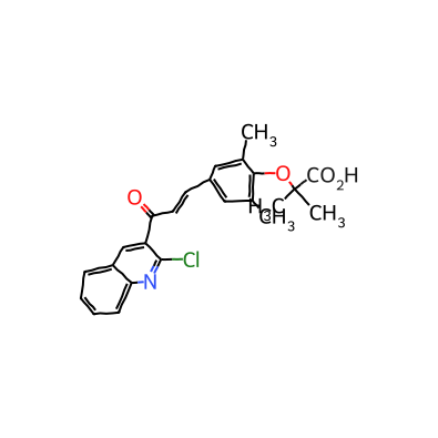 Cc1cc(C=CC(=O)c2cc3ccccc3nc2Cl)cc(C)c1OC(C)(C)C(=O)O